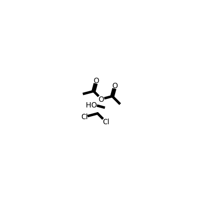 CC(=O)OC(C)=O.CO.ClCCl